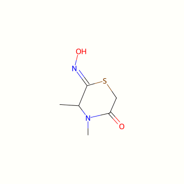 CC1C(=NO)SCC(=O)N1C